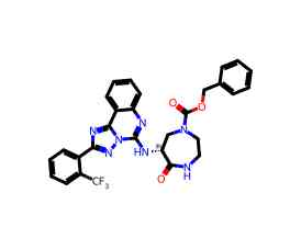 O=C1NCCN(C(=O)OCc2ccccc2)C[C@H]1Nc1nc2ccccc2c2nc(-c3ccccc3C(F)(F)F)nn12